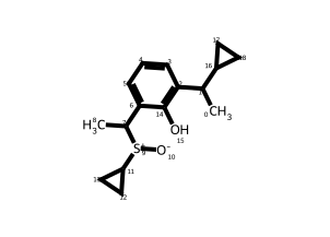 CC(c1cccc(C(C)[S+]([O-])C2CC2)c1O)C1CC1